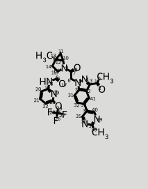 CC(=O)c1nn(CC(=O)N2C3C[C@]3(C)C[C@H]2C(=O)Nc2cccc(OC(F)(F)F)n2)c2ccc(-c3cnc(C)nc3)cc12